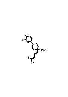 COC1(C=CC=C(F)C#N)CCC(c2ccc(F)c(F)c2)CC1